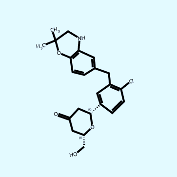 CC1(C)CNc2cc(Cc3cc([C@H]4CC(=O)C[C@@H](CO)O4)ccc3Cl)ccc2O1